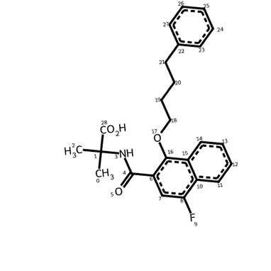 CC(C)(NC(=O)c1cc(F)c2ccccc2c1OCCCCc1ccccc1)C(=O)O